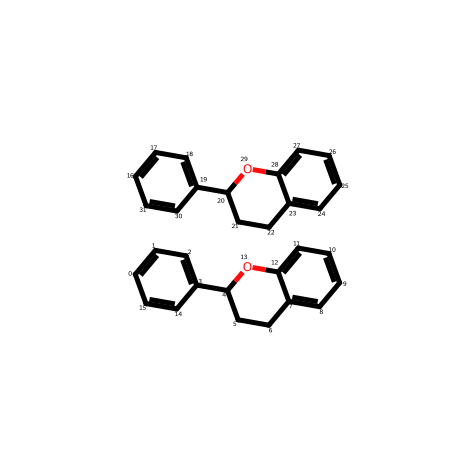 c1ccc(C2CCc3ccccc3O2)cc1.c1ccc(C2CCc3ccccc3O2)cc1